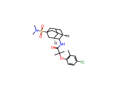 Cc1cc(Cl)ccc1OC(C)(C)C(=O)NC1[C@@H]2CC3C[C@H]1CC(S(=O)(=O)N(C)C)(C3)C2